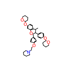 CC1c2ccc(OC3CCCCO3)cc2OC(c2ccc(OCCN3CCCCC3)cc2)C1c1ccc(OC2CCCCO2)cc1